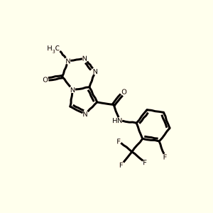 Cn1nnc2c(C(=O)Nc3cccc(F)c3C(F)(F)F)ncn2c1=O